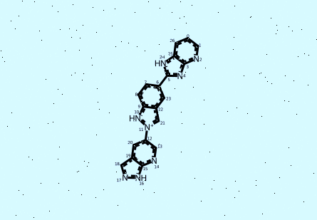 c1cnc2nc(-c3ccc4[nH][n+](-c5cnc6[nH]ncc6c5)cc4c3)[nH]c2c1